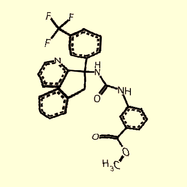 COC(=O)c1cccc(NC(=O)NC(Cc2ccccc2)(c2cccc(C(F)(F)F)c2)c2ccccn2)c1